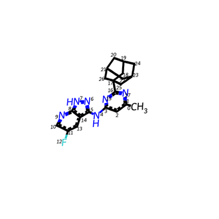 Cc1cc(Nc2n[nH]c3ncc(F)cc23)nc(C23CC4CC(CC(C4)C2)C3)n1